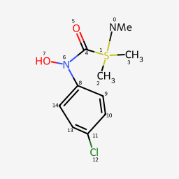 CNS(C)(C)C(=O)N(O)c1ccc(Cl)cc1